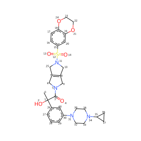 CC(O)(C(=O)N1CC2=C(C1)CN(S(=O)(=O)c1ccc3c(c1)OCCO3)C2)c1cccc(N2CCN(C3CC3)CC2)c1